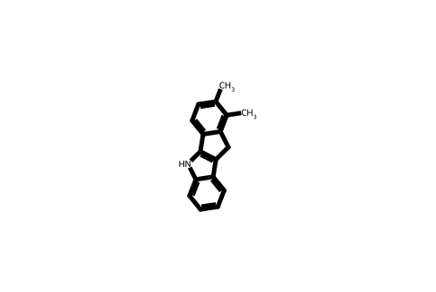 Cc1ccc2c(c1C)Cc1c-2[nH]c2ccccc12